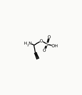 C#CC(N)OS(=O)(=O)O